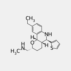 CCc1ccc2c(c1)[C@H]1O[C@@H](CNC)CC[C@H]1[C@H](c1cccs1)N2